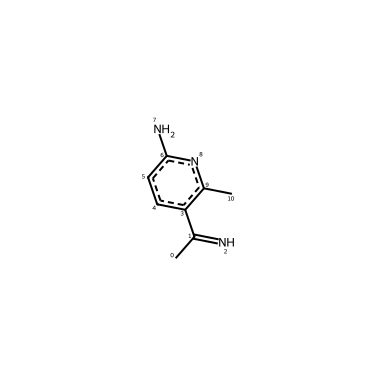 CC(=N)c1ccc(N)nc1C